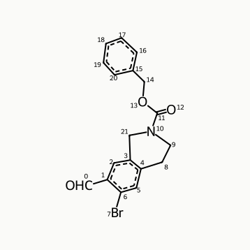 O=Cc1cc2c(cc1Br)CCN(C(=O)OCc1ccccc1)C2